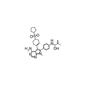 C=C(C)C(O)Nc1ccc(-c2c(C3=CCC(S(=O)(=O)C4CCCC4)CC3)c3c(N)ncnc3n2C)cc1